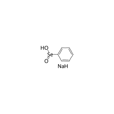 O=[Se](O)c1ccccc1.[NaH]